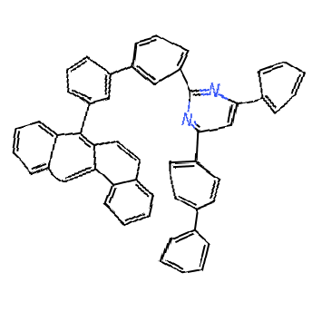 c1ccc(-c2ccc(-c3cc(-c4ccccc4)nc(-c4cccc(-c5cccc(-c6c7ccccc7cc7c6ccc6ccccc67)c5)c4)n3)cc2)cc1